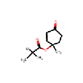 CCC(C)(C)C(=O)OC1(C)CCC(=O)CC1